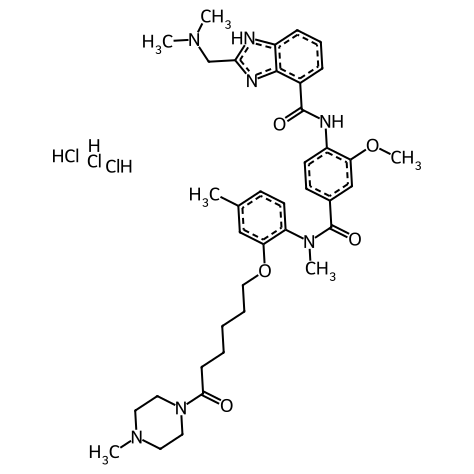 COc1cc(C(=O)N(C)c2ccc(C)cc2OCCCCCC(=O)N2CCN(C)CC2)ccc1NC(=O)c1cccc2[nH]c(CN(C)C)nc12.Cl.Cl.Cl